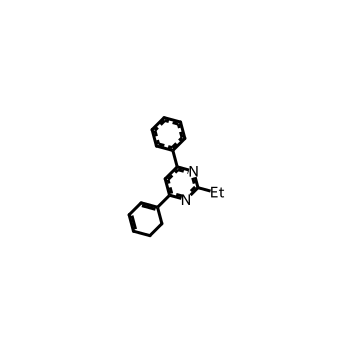 CCc1nc(C2=CC=CCC2)cc(-c2ccccc2)n1